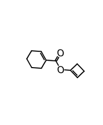 O=C(OC1=CCC1)C1=CCCCC1